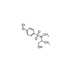 CCOc1ccc(S(=O)(=O)N(C)C(C)CO)cc1